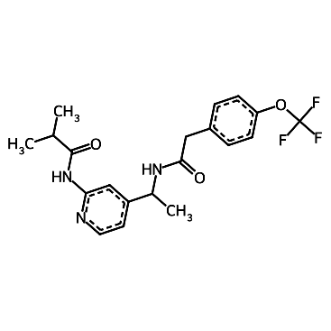 CC(C)C(=O)Nc1cc(C(C)NC(=O)Cc2ccc(OC(F)(F)F)cc2)ccn1